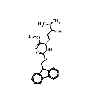 CN(C)C(O)CC[C@H](NC(=O)OCC1c2ccccc2-c2ccccc21)C(=O)OC(C)(C)C